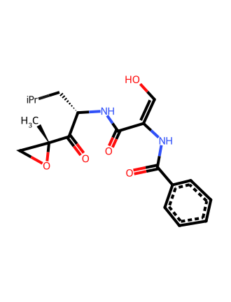 CC(C)C[C@H](NC(=O)C(=CO)NC(=O)c1ccccc1)C(=O)[C@@]1(C)CO1